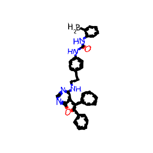 Bc1ccccc1NC(=O)Nc1ccc(CCNc2ncnc3oc(-c4ccccc4)c(-c4ccccc4)c23)cc1